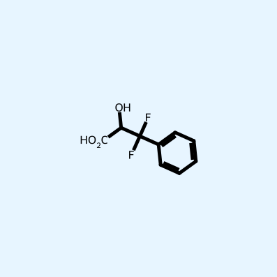 O=C(O)C(O)C(F)(F)c1ccccc1